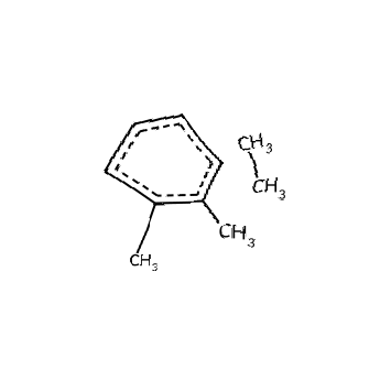 CC.Cc1ccccc1C